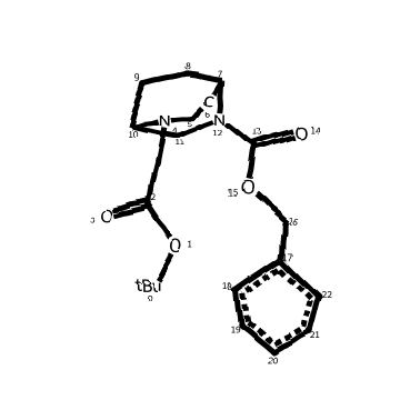 CC(C)(C)OC(=O)N1CCC2CCC1CN2C(=O)OCc1ccccc1